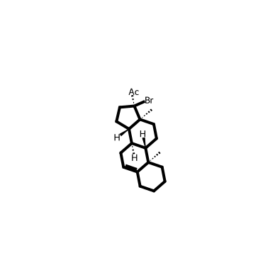 CC(=O)[C@@]1(Br)CC[C@H]2[C@@H]3CC=C4CCCC[C@]4(C)[C@H]3CC[C@@]21C